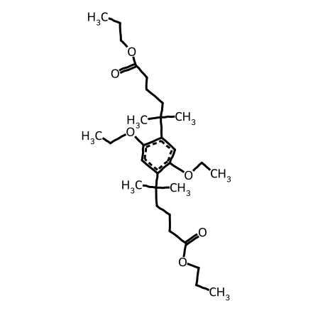 CCCOC(=O)CCCC(C)(C)c1cc(OCC)c(C(C)(C)CCCC(=O)OCCC)cc1OCC